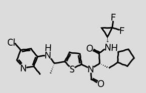 Cc1ncc(Cl)cc1N[C@@H](C)c1ccc(N(C=O)[C@@H](CC2CCCC2)C(=O)N[C@@H]2CC2(F)F)s1